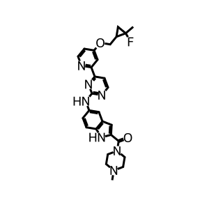 CN1CCN(C(=O)c2cc3cc(Nc4nccc(-c5cc(OCC6CC6(C)F)ccn5)n4)ccc3[nH]2)CC1